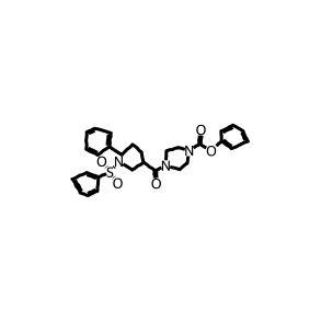 O=C(Oc1ccccc1)N1CCN(C(=O)C2CCC(c3ccccc3)N(S(=O)(=O)c3ccccc3)C2)CC1